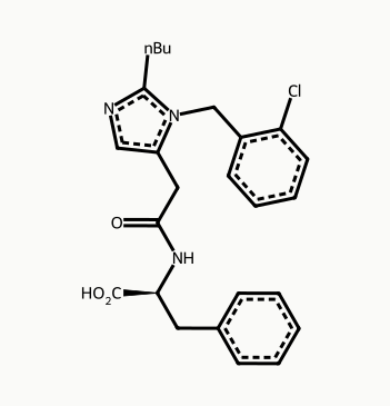 CCCCc1ncc(CC(=O)N[C@@H](Cc2ccccc2)C(=O)O)n1Cc1ccccc1Cl